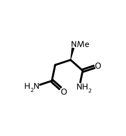 CN[C@H](CC(N)=O)C(N)=O